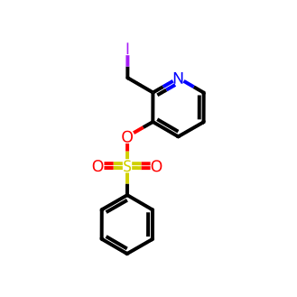 O=S(=O)(Oc1cccnc1CI)c1ccccc1